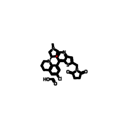 CN1CC[C@H](N2CCCc3cc(Cl)cc(-c4ccnc5cc(CN6C(=O)CCC6=O)sc45)c32)C1.O=CO